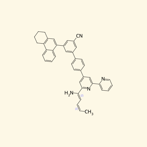 C/C=C\C=C(/N)c1cc(-c2ccc(-c3cc(C#N)cc(-c4cc5c(c6ccccc46)CCCC5)c3)cc2)cc(-c2ccccn2)n1